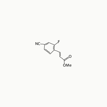 COC(=O)C=Cc1ccc(C#N)cc1F